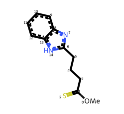 COC(=S)CCCc1nc2ccccc2[nH]1